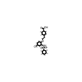 O=C(O)c1ccc(CCOc2ccc(Cl)cc2NS(=O)(=O)c2ccccc2)cc1